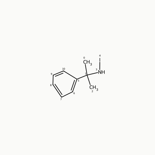 CC(C)(NI)c1ccccc1